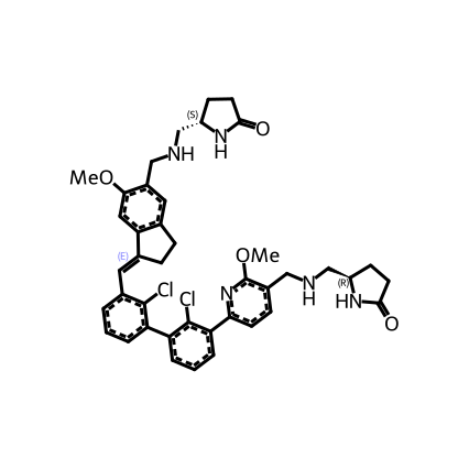 COc1cc2c(cc1CNC[C@@H]1CCC(=O)N1)CC/C2=C\c1cccc(-c2cccc(-c3ccc(CNC[C@H]4CCC(=O)N4)c(OC)n3)c2Cl)c1Cl